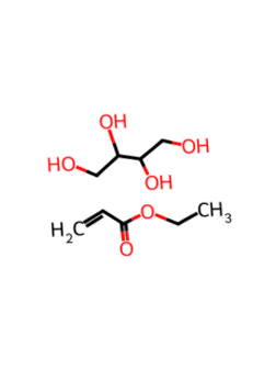 C=CC(=O)OCC.OCC(O)C(O)CO